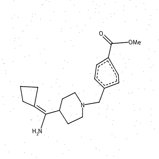 COC(=O)c1ccc(CN2CCC(C(N)=C3CCC3)CC2)cc1